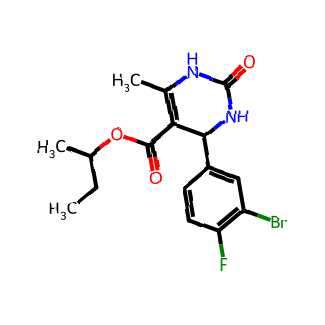 CCC(C)OC(=O)C1=C(C)NC(=O)NC1c1ccc(F)c(Br)c1